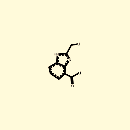 O=C(Cl)c1cccc2[nH]c(CCl)nc12